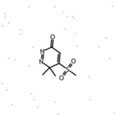 CC1(C)N=NC(=O)C=C1S(C)(=O)=O